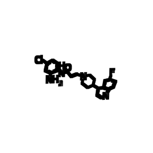 Nc1cc(Cl)ccc1NC(=O)/C=C/N1CCC(c2ccnc3ccc(F)cc23)CC1